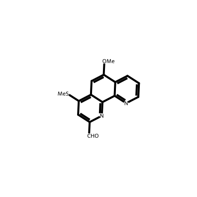 COc1cc2c(SC)cc(C=O)nc2c2ncccc12